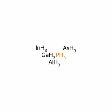 P.[AlH3].[AsH3].[GaH3].[InH3]